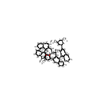 CCc1c(-c2cc(C(F)(F)F)cc(C(F)(F)F)c2)cc2ccccc2c1-c1c(CN2Cc3ccc4ccccc4c3-c3c(ccc4ccccc34)C2)c(-c2cc(C(F)(F)F)cc(C(F)(F)F)c2)cc2ccccc12